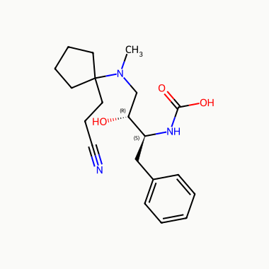 CN(C[C@@H](O)[C@H](Cc1ccccc1)NC(=O)O)C1(CCC#N)CCCC1